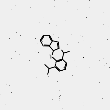 CC(C)c1cccc(C(C)C)[c]1[Ti][CH]1C=Cc2ccccc21